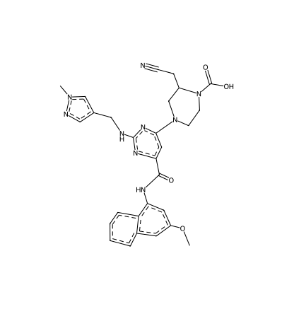 COc1cc(NC(=O)c2cc(N3CCN(C(=O)O)C(CC#N)C3)nc(NCc3cnn(C)c3)n2)c2ccccc2c1